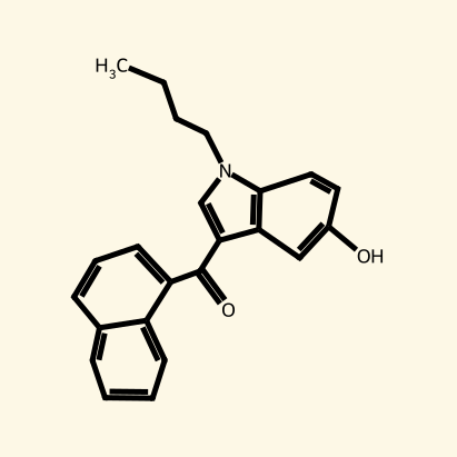 CCCCn1cc(C(=O)c2cccc3ccccc23)c2cc(O)ccc21